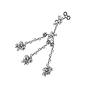 C=C[C@H](NC(=O)OCC1c2ccccc2-c2ccccc21)C(=O)NCCCCCC(=O)NC(COCc1cn(CCOCCOCCOCCOC[C@@]23CO[C@@H](O2)[C@H](NC(C)=O)[C@H]2OC(C)(C)O[C@H]23)nn1)(COCc1cn(CCOCCOCCOCCOC[C@@]23CO[C@@H](O2)[C@H](NC(C)=O)[C@H]2OC(C)(C)O[C@H]23)nn1)COCc1cn(CCOCCOCCOCCOC[C@@]23CO[C@@H](O2)[C@H](NC(C)=O)[C@H]2OC(C)(C)O[C@H]23)nn1